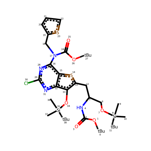 CC(C)(C)OC(=O)NC(CO[Si](C)(C)C(C)(C)C)Cc1sc2c(N(Cc3cccs3)C(=O)OC(C)(C)C)nc(Cl)nc2c1O[Si](C)(C)C(C)(C)C